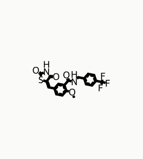 COc1ccc(C=C2SC(=O)NC2=O)cc1C(=O)NCc1ccc(C(F)(F)F)cc1